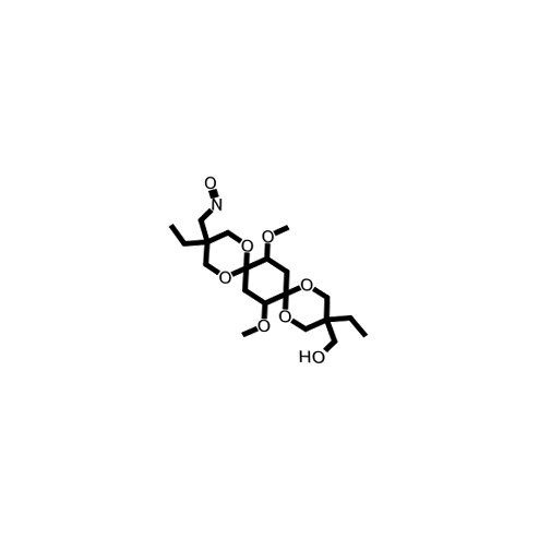 CCC1(CO)COC2(CC(OC)C3(CC2OC)OCC(CC)(CN=O)CO3)OC1